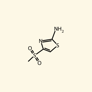 CS(=O)(=O)c1csc(N)n1